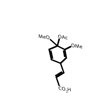 COC1=CC(/C=C/C(=O)O)C=CC1(OC)OC(C)=O